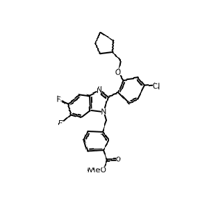 COC(=O)c1cccc(Cn2c(-c3ccc(Cl)cc3OCC3CCCC3)nc3cc(F)c(F)cc32)c1